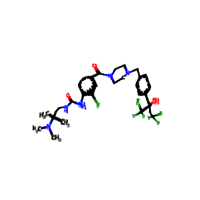 CN(C)C(C)(C)CNC(=O)Nc1ccc(C(=O)N2CCN(Cc3ccc(C(O)(C(F)(F)F)C(F)(F)F)cc3)CC2)cc1F